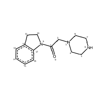 O=C(CN1CCNCC1)N1CCc2ccccc21